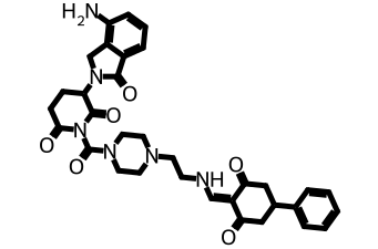 Nc1cccc2c1CN(C1CCC(=O)N(C(=O)N3CCN(CCNC=C4C(=O)CC(c5ccccc5)CC4=O)CC3)C1=O)C2=O